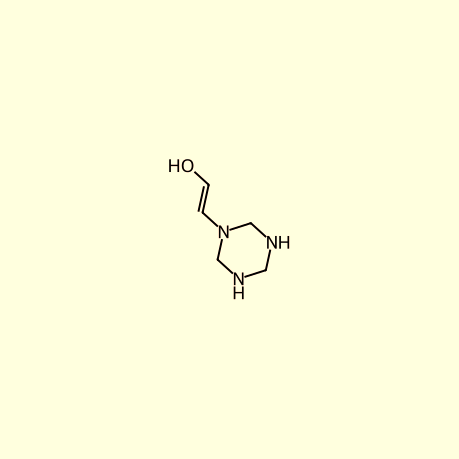 OC=CN1CNCNC1